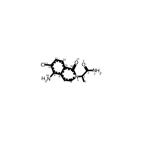 CC(C(N)=O)n1ccc2c(N)c(Cl)ccc2c1=O